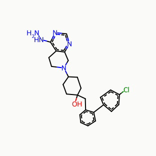 NNc1ncnc2c1CCN(C1CCC(O)(Cc3ccccc3-c3ccc(Cl)cc3)CC1)C2